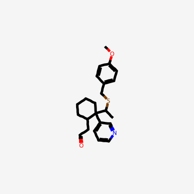 COc1ccc(CSC(C)C2(c3cccnc3)CCCCC2CC=O)cc1